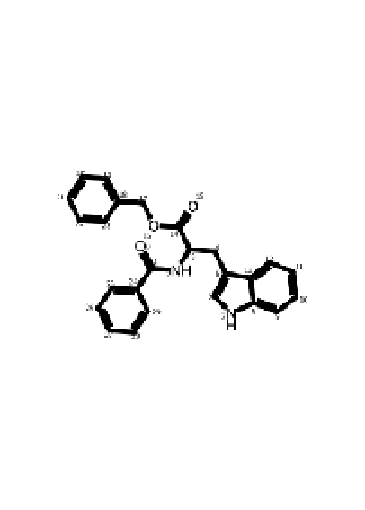 O=C(NC(Cc1c[nH]c2ccccc12)C(=O)OCc1ccccc1)c1ccccc1